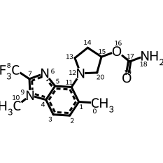 Cc1ccc2c(nc(C(F)(F)F)n2C)c1N1CCC(OC(N)=O)C1